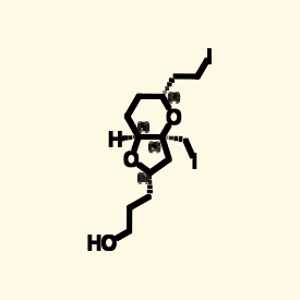 OCCC[C@H]1C[C@]2(CI)O[C@@H](CCI)CC[C@@H]2O1